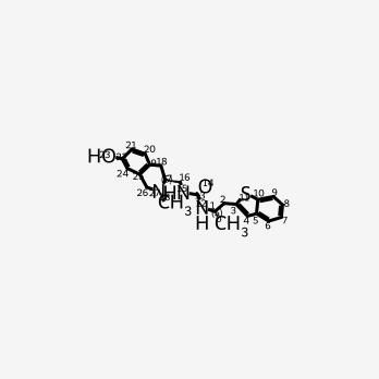 C[C@@H](Cc1cc2ccccc2s1)NC(=O)NC[C@@H]1Cc2ccc(O)cc2CN1C